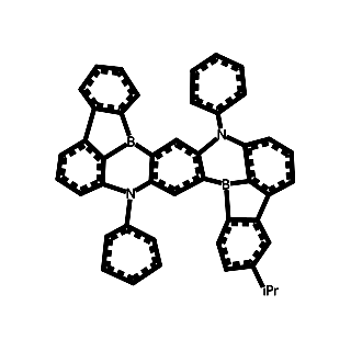 CC(C)c1ccc2c(c1)-c1cccc3c1B2c1cc2c(cc1N3c1ccccc1)B1c3ccccc3-c3cccc(c31)N2c1ccccc1